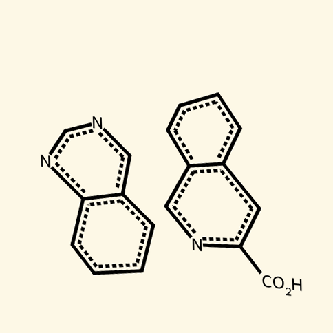 O=C(O)c1cc2ccccc2cn1.c1ccc2ncncc2c1